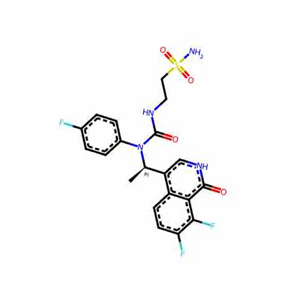 C[C@H](c1c[nH]c(=O)c2c(F)c(F)ccc12)N(C(=O)NCCS(N)(=O)=O)c1ccc(F)cc1